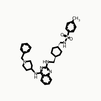 Cc1ccc(S(=O)(=O)NC[C@H]2CC[C@H](CNc3nc(NC4CCN(Cc5ccccc5)CC4)c4ccccc4n3)CC2)cc1